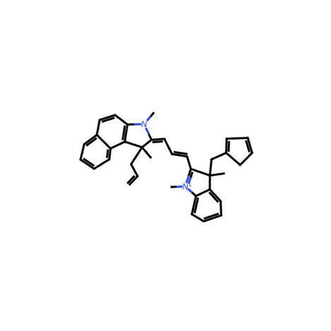 C=CCC1(C)/C(=C\C=C\C2=[N+](C)c3ccccc3C2(C)CC2=CC=CC2)N(C)c2ccc3ccccc3c21